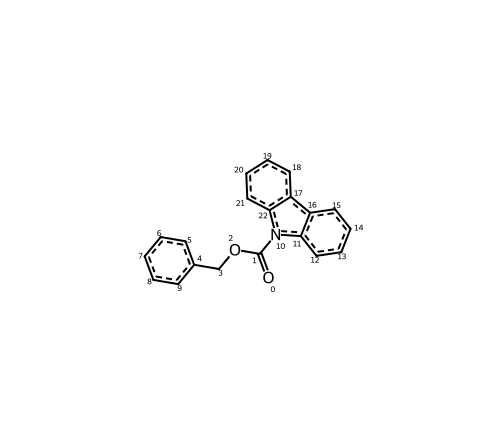 O=C(OCc1ccccc1)n1c2ccccc2c2ccccc21